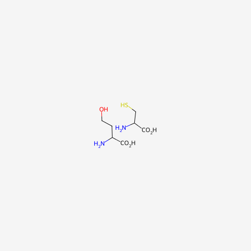 NC(CCO)C(=O)O.NC(CS)C(=O)O